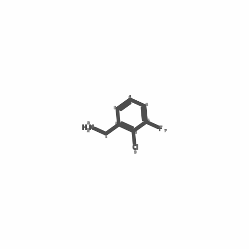 NCc1[c]ccc(F)c1Cl